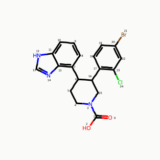 O=C(O)N1CCC(c2cccc3[nH]cnc23)C(c2ccc(Br)cc2Cl)C1